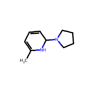 CC1=CC=CC(N2CCCC2)N1